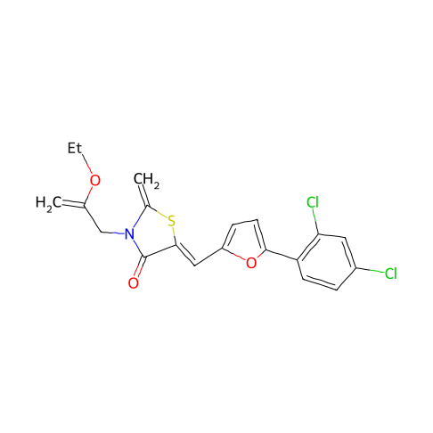 C=C(Cn1c(=C)s/c(=C\c2ccc(-c3ccc(Cl)cc3Cl)o2)c1=O)OCC